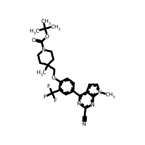 Cn1ccc2c(-c3ccc(OCC4(C)CCN(C(=O)OC(C)(C)C)CC4)c(C(F)(F)F)c3)nc(C#N)nc21